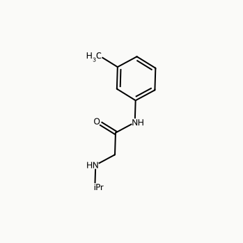 Cc1cccc(NC(=O)CNC(C)C)c1